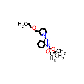 C=CCOCC1CCCN(C[C@@H]2CCCC[C@H]2NC(=O)OC(C)(C)C)C1